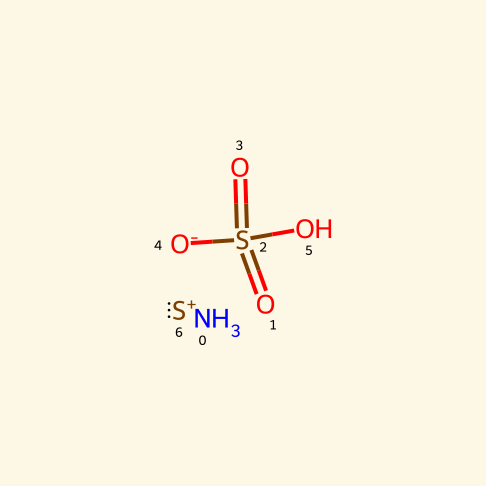 N.O=S(=O)([O-])O.[S+]